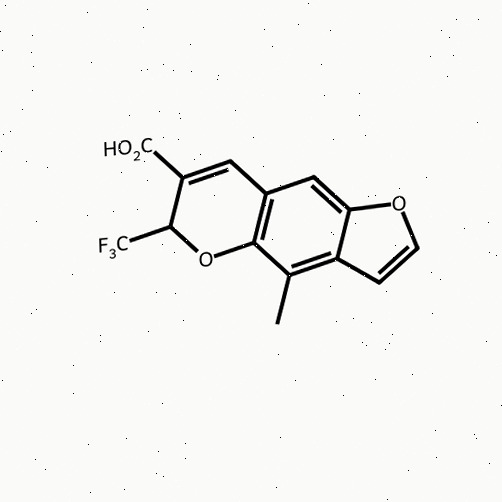 Cc1c2c(cc3occc13)C=C(C(=O)O)C(C(F)(F)F)O2